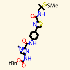 CSSC(C)(C)CNC(=O)c1nc(-c2ccc(NC(=O)c3nc(NC(=O)OC(C)(C)C)cn3C)cc2)cs1